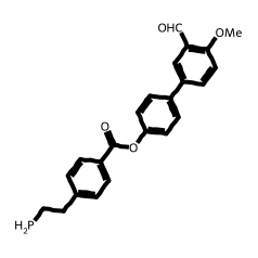 COc1ccc(-c2ccc(OC(=O)c3ccc(CCP)cc3)cc2)cc1C=O